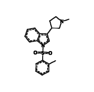 Cc1ccccc1S(=O)(=O)n1cc(C2CCN(C)C2)c2ccccc21